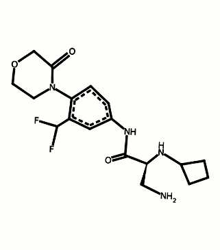 NC[C@H](NC1CCC1)C(=O)Nc1ccc(N2CCOCC2=O)c(C(F)F)c1